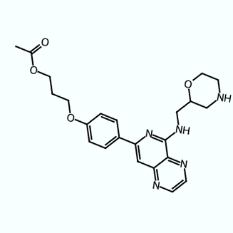 CC(=O)OCCCOc1ccc(-c2cc3nccnc3c(NCC3CNCCO3)n2)cc1